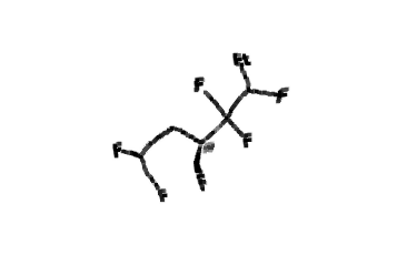 [CH2]CC(F)C(F)(F)[C@@H](F)CC(F)F